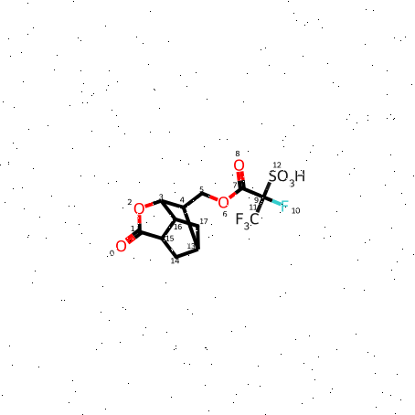 O=C1OC2C(COC(=O)C(F)(C(F)(F)F)S(=O)(=O)O)C3CC1C2C3